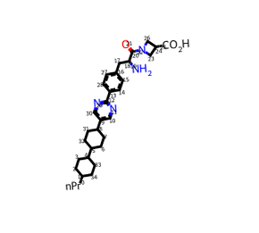 CCCC1CCC(C2CCC(c3cnc(-c4ccc(CC(N)C(=O)N5CC(C(=O)O)C5)cc4)nc3)CC2)CC1